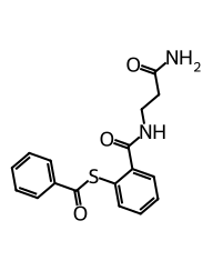 NC(=O)CCNC(=O)c1ccccc1SC(=O)c1ccccc1